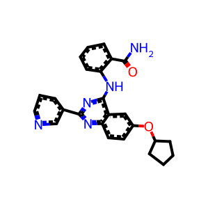 NC(=O)c1ccccc1Nc1nc(-c2cccnc2)nc2ccc(OC3CCCC3)cc12